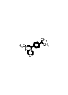 CNCC(c1ccc(C(C)C)cc1)N1CCOCC1